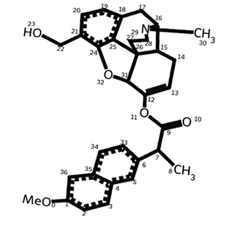 COc1ccc2cc(C(C)C(=O)OC3=CCC4C5Cc6ccc(CO)c7c6C4(CCN5C)C3O7)ccc2c1